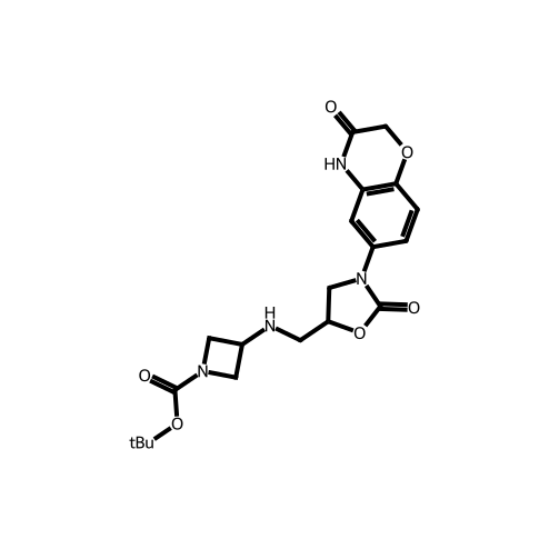 CC(C)(C)OC(=O)N1CC(NCC2CN(c3ccc4c(c3)NC(=O)CO4)C(=O)O2)C1